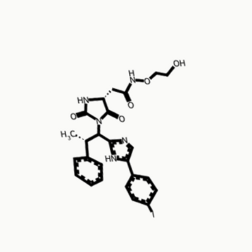 C[C@@H](c1ccccc1)C(c1ncc(-c2ccc(I)cc2)[nH]1)N1C(=O)N[C@H](CC(=O)NOCCO)C1=O